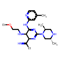 CCOCCNC1C(Nc2cc(C)ccn2)=NC(N2C[C@@H](C)NC[C@@H]2C)=NC1C(=N)CC